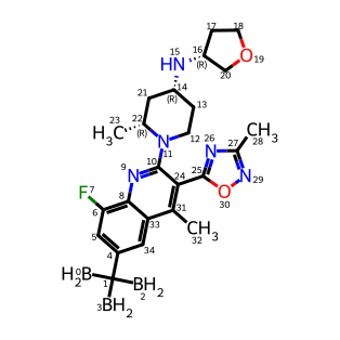 BC(B)(B)c1cc(F)c2nc(N3CC[C@@H](N[C@@H]4CCOC4)C[C@H]3C)c(-c3nc(C)no3)c(C)c2c1